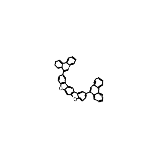 c1ccc2c(c1)cc(-c1ccc3oc4cc5oc6ccc(-c7cc8ccccc8c8ccccc78)cc6c5cc4c3c1)c1ccccc12